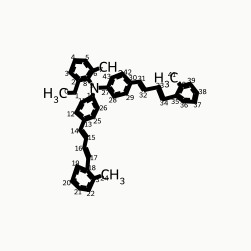 CCc1cccc(C)c1N(c1ccc(/C=C/C=C/c2ccccc2C)cc1)c1ccc(/C=C/C=C/c2ccccc2C)cc1